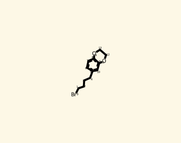 BrCCCCc1ccc2c(c1)OCCO2